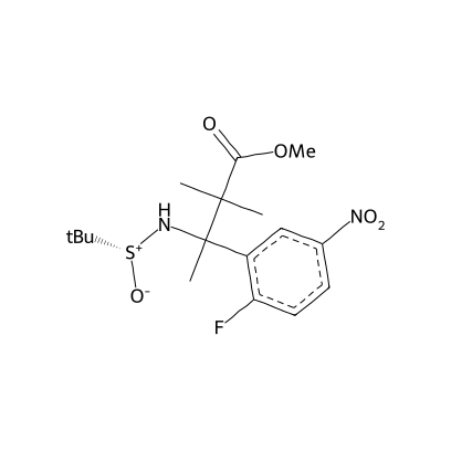 COC(=O)C(C)(C)C(C)(N[S@+]([O-])C(C)(C)C)c1cc([N+](=O)[O-])ccc1F